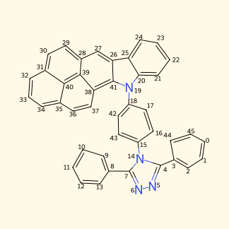 c1ccc(-c2nnc(-c3ccccc3)n2-c2ccc(-n3c4ccccc4c4cc5ccc6cccc7ccc(c5c67)c43)cc2)cc1